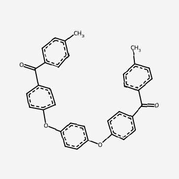 Cc1ccc(C(=O)c2ccc(Oc3ccc(Oc4ccc(C(=O)c5ccc(C)cc5)cc4)cc3)cc2)cc1